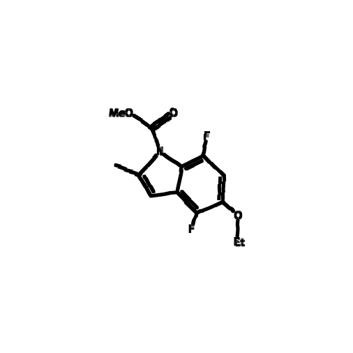 CCOc1cc(F)c2c(cc(C)n2C(=O)OC)c1F